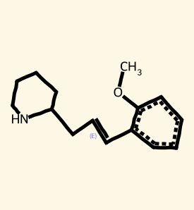 COc1ccccc1/C=C/CC1CCCCN1